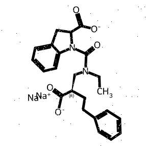 CCN(C[C@@H](CCc1ccccc1)C(=O)[O-])C(=O)N1c2ccccc2CC1C(=O)[O-].[Na+].[Na+]